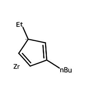 CCCCC1=C[C](CC)C=C1.[Zr]